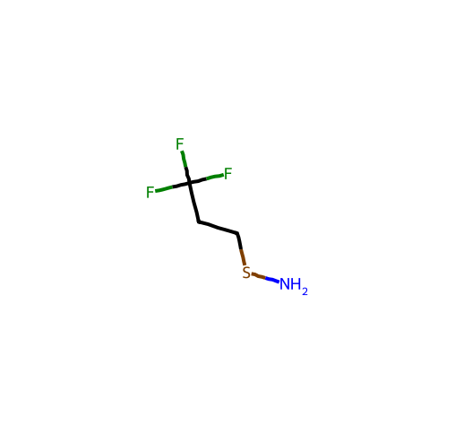 NSCCC(F)(F)F